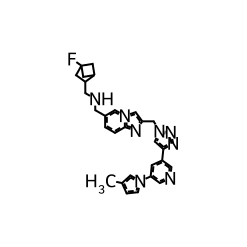 Cc1ccn(-c2cncc(-c3cn(Cc4cn5cc(CNCC6CC7(F)CC6C7)ccc5n4)nn3)c2)c1